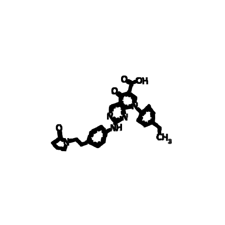 CCc1ccc(-n2cc(C(=O)O)c(=O)c3cnc(Nc4ccc(CCN5CCCC5=O)cc4)nc32)cc1